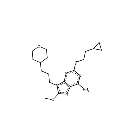 COc1nc2c(N)nc(OCCC3CC3)nc2n1CCCC1CCOCC1